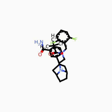 CC(C)(C)C(=O)N(CCN1C2CCC1CC(c1cccc(C(N)=O)c1)C2)Cc1c(F)cccc1F